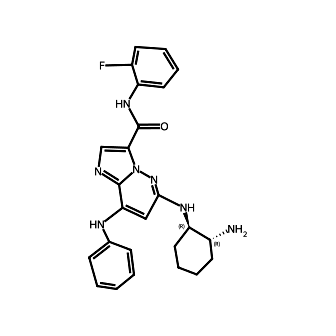 N[C@@H]1CCCC[C@H]1Nc1cc(Nc2ccccc2)c2ncc(C(=O)Nc3ccccc3F)n2n1